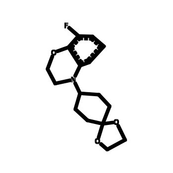 Fc1cccc2c1OCCN2C1CCC2(CC1)OCCO2